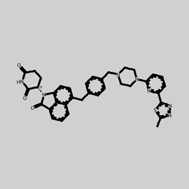 Cc1nnc(-c2cccc(N3CCN(Cc4ccc(Cc5ccc6c7c(cccc57)C(=O)N6[C@H]5CCC(=O)NC5=O)cc4)CC3)n2)s1